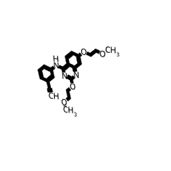 C#Cc1cccc(Nc2nc(OCCOC)nc3cc(OCCOC)ccc23)c1